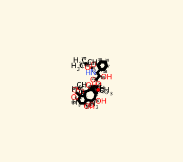 CC(=O)O[C@@]12CO[C@@H]1C[C@H](O)[C@@]1(C)C(=O)[C@H](O)C3=C(C)[C@@H](OC(=O)[C@H](O)[C@@H](NC(=O)OC(C)(C)C)c4ccccc4)C[C@@](O)([C@@H](C)[C@H]21)C3(C)C